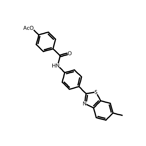 CC(=O)Oc1ccc(C(=O)Nc2ccc(-c3nc4ccc(C)cc4s3)cc2)cc1